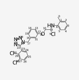 Cc1ccccc1NC(Cl)COc1cccc(Cn2nnnc2-c2cccc(Cl)c2Cl)c1